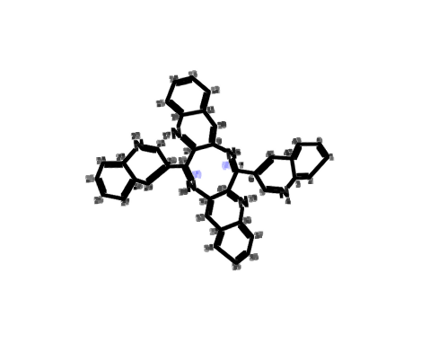 c1ccc2ncc(/C3=N/c4cc5ccccc5nc4/C(c4cnc5ccccc5c4)=N\c4cc5ccccc5nc43)cc2c1